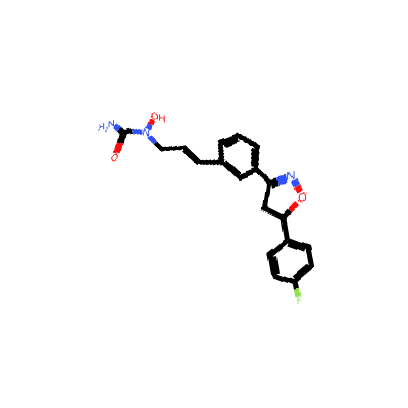 NC(=O)N(O)CC=Cc1cccc(C2=NOC(c3ccc(F)cc3)C2)c1